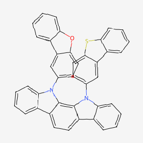 c1ccc2c(c1)oc1ccc(-n3c4ccccc4c4ccc5c6ccccc6n(-c6ccc7sc8ccccc8c7c6)c5c43)cc12